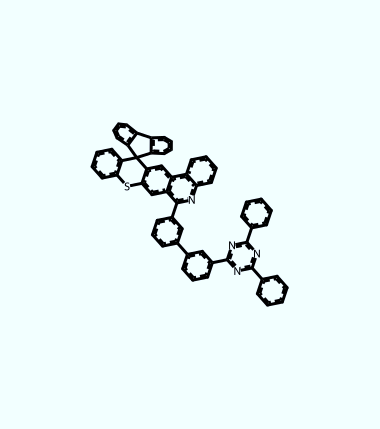 c1ccc(-c2nc(-c3ccccc3)nc(-c3cccc(-c4cccc(-c5nc6ccccc6c6cc7c(cc56)Sc5ccccc5C75c6ccccc6-c6ccccc65)c4)c3)n2)cc1